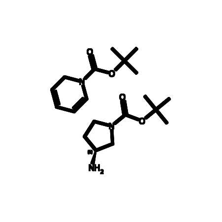 CC(C)(C)OC(=O)N1C=CC=CC1.CC(C)(C)OC(=O)N1CC[C@H](N)C1